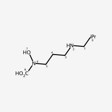 CC(C)CNCCCN(O)C(=O)O